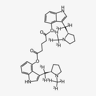 [2H]C([2H])(c1c[nH]c2cccc(OC(=O)CCCC(=O)Oc3cccc4[nH]cc(C([2H])([2H])[C@H]5CCCN5C([2H])([2H])[2H])c34)c12)[C@H]1CCCN1C([2H])([2H])[2H]